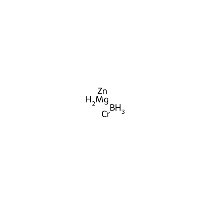 B.[Cr].[MgH2].[Zn]